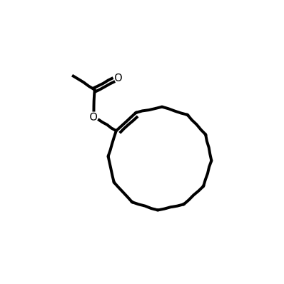 CC(=O)OC1=CCCCCCCCCCC1